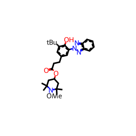 CON1C(C)(C)CC(OC(=O)CCc2cc(-n3nc4ccccc4n3)c(O)c(C(C)(C)C)c2)CC1(C)C